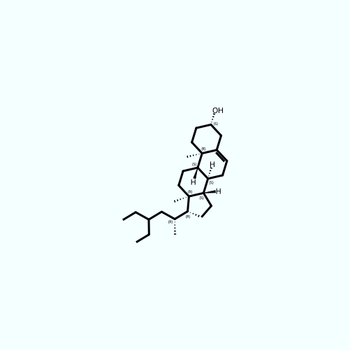 CCC(CC)C[C@@H](C)[C@H]1CC[C@H]2[C@@H]3CC=C4C[C@@H](O)CC[C@]4(C)[C@H]3CC[C@]12C